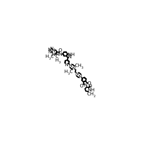 C=C1CCC(N2C(=O)c3ccc(N4CCN(CCN5[C@H](C)CN(c6cc(-c7n[nH]c8ccc(NC(=O)C9=C(C)N(C)c%10nnnn%10C9)cc78)ccn6)C[C@@H]5C)CC4)cc3C2=O)C(=O)N1